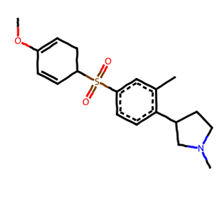 COC1=CCC(S(=O)(=O)c2ccc(C3CCN(C)C3)c(C)c2)C=C1